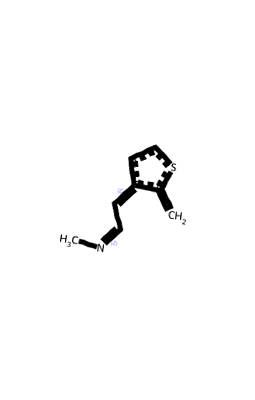 C=c1scc/c1=C/C=N\C